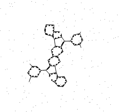 FC(F)(F)c1cc(C2=c3cc4cc5c(cc4cc3-c3c2oc2ccccc32)=C(c2cc(C(F)(F)F)cc(C(F)(F)F)c2)c2oc3ccccc3c2-5)cc(C(F)(F)F)c1